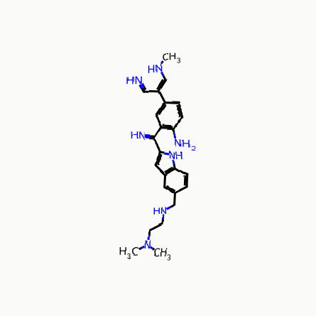 CN/C=C(\C=N)c1ccc(N)c(C(=N)c2cc3cc(CNCCN(C)C)ccc3[nH]2)c1